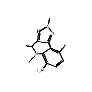 CC1c2nn(C)nc2-c2c(F)ccc(N)c2N1C